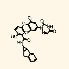 O=C(NC1C2Cc3ccccc3C21)c1cc(Oc2c(Cl)cc(-n3ncc(=O)[nH]c3=O)cc2Cl)ccc1O